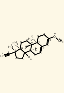 C#C[C@]1(O)CC[C@H]2[C@@H]3CC=C4C=C(OC)CC[C@]4(C)[C@H]3CC[C@@]21C